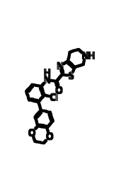 O=C(Nc1cccc(-c2ccc3c(c2)OCCO3)c1Cl)c1nc2c(s1)CNCC2